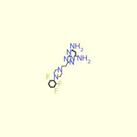 Nc1cc(N)n2nc(CCN3CCN(c4c(F)ccc(F)c4F)CC3)nc2n1